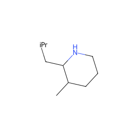 CC(C)CC1NCCCC1C